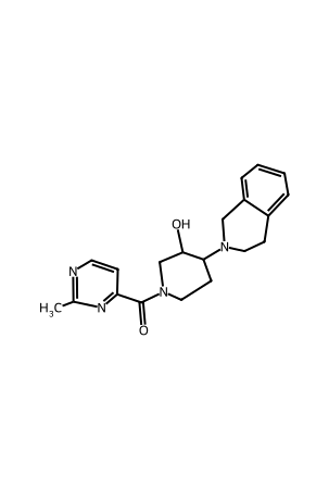 Cc1nccc(C(=O)N2CCC(N3CCc4ccccc4C3)C(O)C2)n1